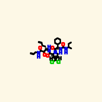 C=CCC[C@H](NC(=O)[C@@H]1[C@@H]2[C@H](CN1C(=O)[C@@H](NC(=O)NC(C)CC)C1CCCCC1)C2(Cl)Cl)C(=O)C(=O)NCC=C